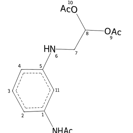 CC(=O)Nc1cccc(NCC(OC(C)=O)OC(C)=O)c1